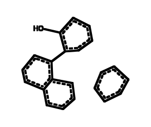 Oc1ccccc1-c1cccc2ccccc12.c1ccccc1